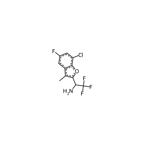 Cc1c(C(N)C(F)(F)F)oc2c(Cl)cc(F)cc12